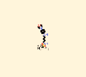 CC(C)(C)S(=O)(=O)NCCCCCNc1ccc(N2CCOCC2)cc1